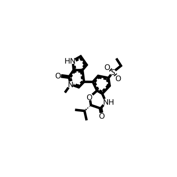 CCS(=O)(=O)c1cc2c(c(-c3cn(C)c(=O)c4[nH]ccc34)c1)O[C@@H](C(C)C)C(=O)N2